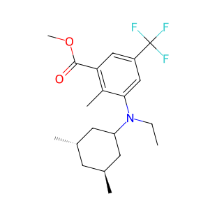 CCN(c1cc(C(F)(F)F)cc(C(=O)OC)c1C)C1C[C@@H](C)C[C@H](C)C1